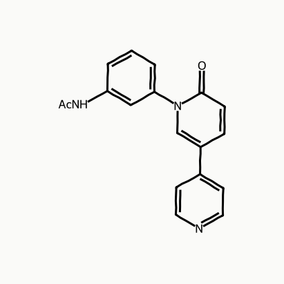 CC(=O)Nc1cccc(-n2cc(-c3ccncc3)ccc2=O)c1